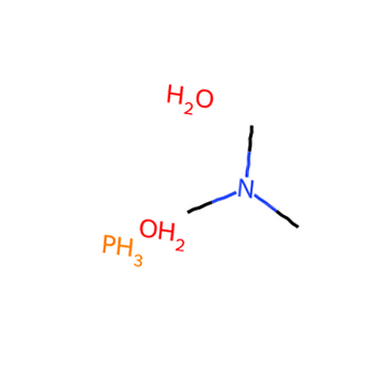 CN(C)C.O.O.P